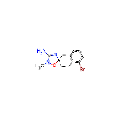 CN1OC2(CCc3c(Br)cccc3C2)N=C1N